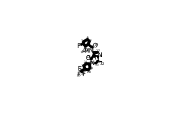 COc1c(F)cccc1C(=O)Nc1cnn2c1C(=O)N(c1ccc(C(F)(F)F)cc1)C[C@@H]2C